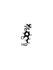 CC(C)(C)[Si](C)(C)Oc1ccc(C[CH]CO)c(Cl)c1